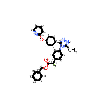 Cc1nnc([C@H]2CC[C@H](Oc3ccccn3)CC2)n1-c1ccc(C(F)C(=O)OCc2ccccc2)cc1